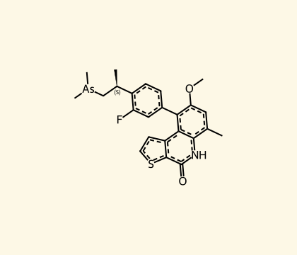 COc1cc(C)c2[nH]c(=O)c3sccc3c2c1-c1ccc([C@H](C)C[As](C)C)c(F)c1